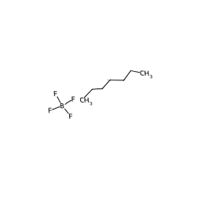 CCC[CH]CCC.F[B-](F)(F)F